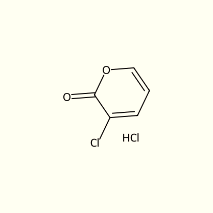 Cl.O=c1occcc1Cl